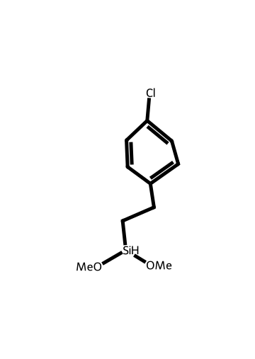 CO[SiH](CCc1ccc(Cl)cc1)OC